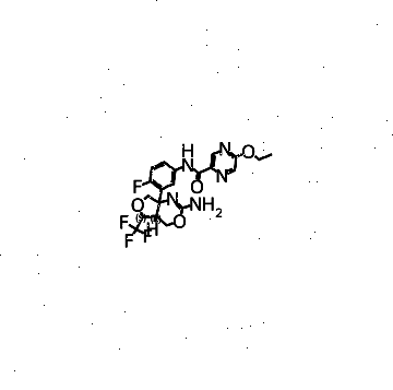 CCOc1cnc(C(=O)Nc2ccc(F)c(C34CO[C@H](C(F)(F)F)[C@H]3COC(N)=N4)c2)cn1